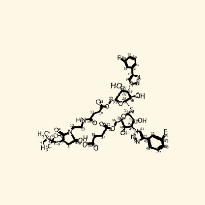 CN(I)C(C)(C)SC1CC(=O)N(CCNC(=O)CCC(=O)OC[C@H]2O[C@@H](S[C@@H]3O[C@H](COC(=O)CCC(=O)O)[C@H](O)[C@H](n4cc(-c5cccc(F)c5)nn4)[C@H]3O)[C@H](O)[C@@H](n3cc(-c4cccc(F)c4)nn3)[C@H]2O)C1=O